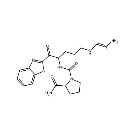 NN=CNCCCC(NC(=O)N1CCC[C@H]1C(N)=O)C(=O)c1nc2ccccc2s1